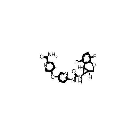 NC(=O)c1ccc(Oc2ccc(NC(=O)N[C@@H]3[C@H]4COc5c(F)ccc(F)c5[C@@H]43)nc2)cn1